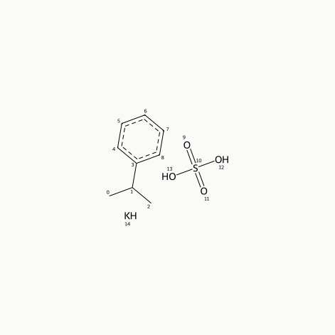 CC(C)c1ccccc1.O=S(=O)(O)O.[KH]